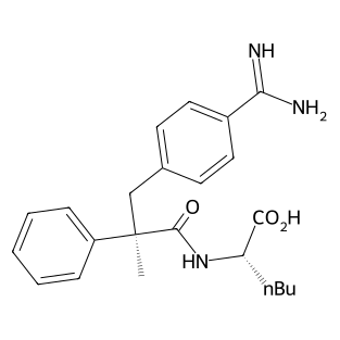 CCCC[C@H](NC(=O)[C@](C)(Cc1ccc(C(=N)N)cc1)c1ccccc1)C(=O)O